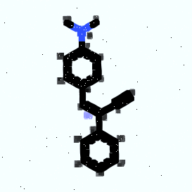 C#C/C(=C\c1ccc(N(C)C)cc1)c1ccccc1